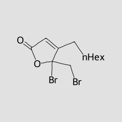 CCCCCCCC1=CC(=O)OC1(Br)CBr